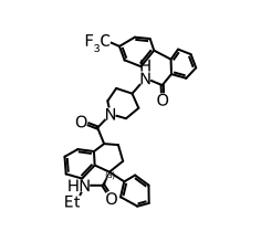 CCNC(=O)[C@]1(c2ccccc2)CCC(C(=O)N2CCC(NC(=O)c3ccccc3-c3ccc(C(F)(F)F)cc3)CC2)c2ccccc21